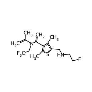 C=C(C)N(CC(F)(F)F)C(=C)c1c(C)sc(CNCCF)c1C